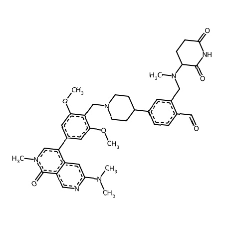 COc1cc(-c2cn(C)c(=O)c3cnc(N(C)C)cc23)cc(OC)c1CN1CCC(c2ccc(C=O)c(CN(C)C3CCC(=O)NC3=O)c2)CC1